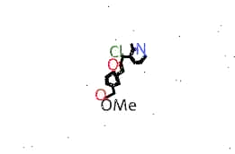 COC(=O)Cc1ccc2oc(C(Cl)c3cccnc3C)cc2c1